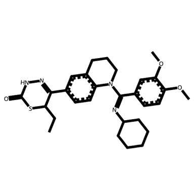 CCC1SC(=O)NN=C1c1ccc2c(c1)CCCN2C(=NC1CCCCC1)c1ccc(OC)c(OC)c1